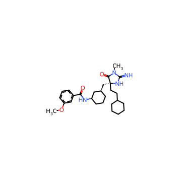 COc1cccc(C(=O)N[C@@H]2CCC[C@H](C[C@@]3(CCC4CCCCC4)NC(=N)N(C)C3=O)C2)c1